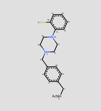 CC(=O)NCc1ccc(CN2CCN(c3ccccc3F)CC2)cc1